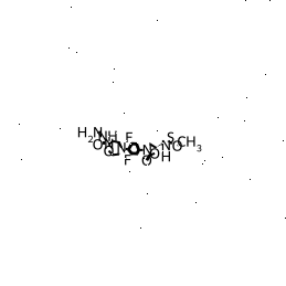 COC(=S)NC[C@H]1CN(c2cc(F)c(N3CCON(C(=O)NN)CC3)c(F)c2)C(=O)O1